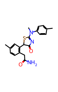 Cc1ccc(N(C)C2=NC(=O)C(c3cc(C)ccc3CC(N)=O)S2)cc1